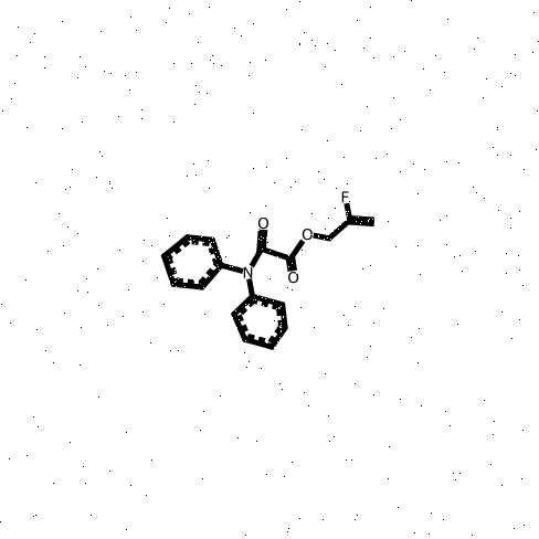 C=C(F)COC(=O)C(=O)N(c1ccccc1)c1ccccc1